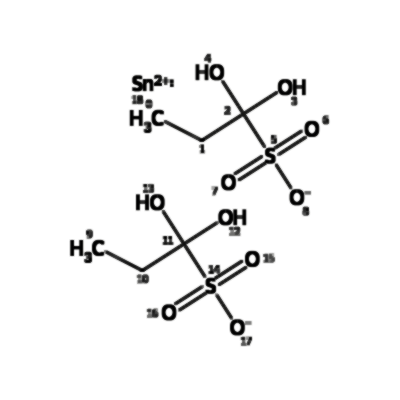 CCC(O)(O)S(=O)(=O)[O-].CCC(O)(O)S(=O)(=O)[O-].[Sn+2]